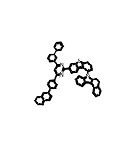 c1ccc(-c2cccc(-c3cc(-c4ccc(-c5ccc6ccccc6c5)cc4)nc(-c4ccc5c(c4)sc4cccc(-n6c7ccccc7c7c8ccccc8ccc76)c45)n3)c2)cc1